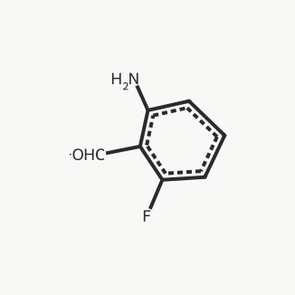 Nc1cccc(F)c1[C]=O